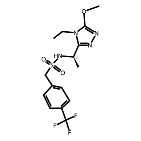 CCn1c(OC)nnc1[C@@H](C)NS(=O)(=O)Cc1ccc(C(F)(F)F)cc1